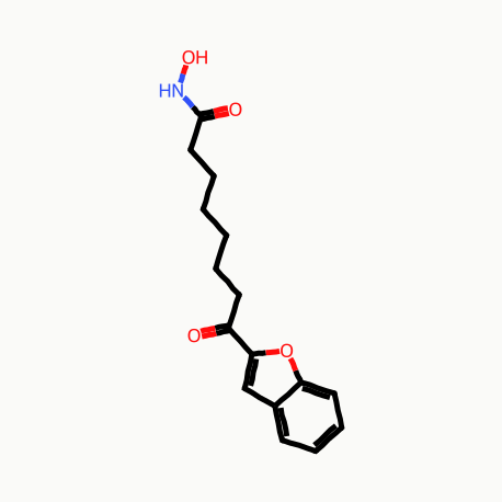 O=C(CCCCCCC(=O)c1cc2ccccc2o1)NO